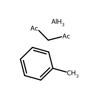 CC(=O)CC(C)=O.Cc1ccccc1.[AlH3]